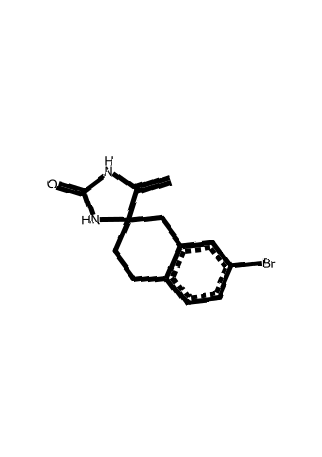 C=C1NC(=O)NC12CCc1ccc(Br)cc1C2